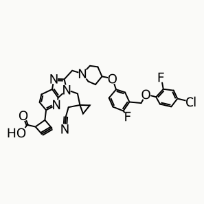 N#CCC1(Cn2c(CN3CCC(Oc4ccc(F)c(COc5ccc(Cl)cc5F)c4)CC3)nc3ccc(C4C#CC4C(=O)O)nc32)CC1